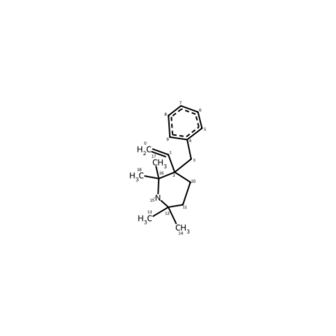 C=CC1(Cc2ccccc2)CCC(C)(C)[N]C1(C)C